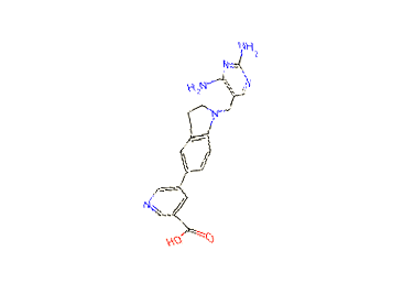 Nc1ncc(CN2CCc3cc(-c4cncc(C(=O)O)c4)ccc32)c(N)n1